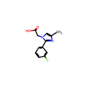 Cc1cn(CC(=O)O)c(-c2cccc(F)c2)n1